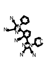 N#Cc1nc(-c2cccc(-c3nc(C#N)c(C#N)n3-c3ccccc3)c2C#N)n(-c2ccccc2)c1C#N